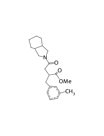 COC(=O)C(CC(=O)N1CC2CCCCC2C1)Cc1cccc(C)c1